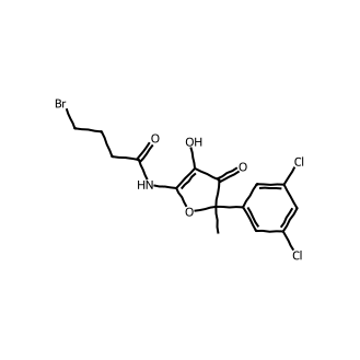 CC1(c2cc(Cl)cc(Cl)c2)OC(NC(=O)CCCBr)=C(O)C1=O